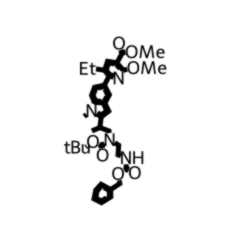 CCc1cc(C(=O)OC)c(OC)nc1-c1ccc2c(c1)cc(C(C)CN(CCNC(=O)OCc1ccccc1)C(=O)OC(C)(C)C)n2C